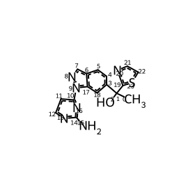 CC(O)(c1ccc2cnn(-c3ccnc(N)n3)c2c1)c1nccs1